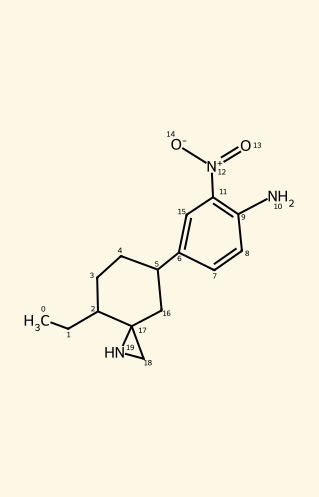 CCC1CCC(c2ccc(N)c([N+](=O)[O-])c2)CC12CN2